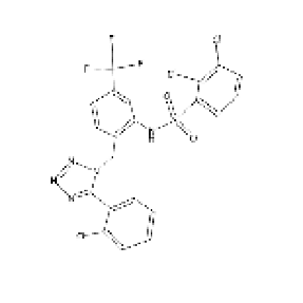 O=S(=O)(Nc1cc(C(F)(F)F)ccc1Cn1nnnc1-c1ccccc1Cl)c1cccc(Cl)c1Cl